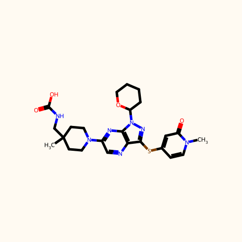 Cn1ccc(Sc2nn(C3CCCCO3)c3nc(N4CCC(C)(CNC(=O)O)CC4)cnc23)cc1=O